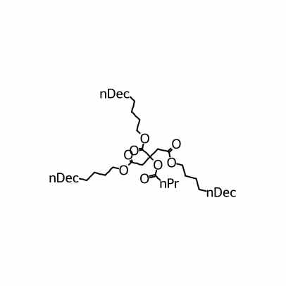 CCCCCCCCCCCCCCOC(=O)CC(CC(=O)OCCCCCCCCCCCCCC)(OC(=O)CCC)C(=O)OCCCCCCCCCCCCCC